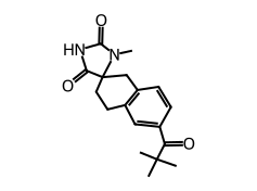 CN1C(=O)NC(=O)C12CCc1cc(C(=O)C(C)(C)C)ccc1C2